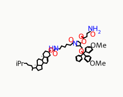 COc1ccc(C(OCC2CN(C(=O)CCCCCNC(=O)OC3CC[C@@]4(C)C(=CCC5C6CCC(C(C)CCCC(C)C)[C@@]6(C)CCC54)C3)CC2OC(=O)CCC(N)=O)(c2ccccc2)c2ccc(OC)cc2)cc1